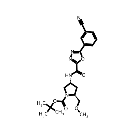 COC[C@@H]1C[C@@H](NC(=O)c2nnc(-c3cccc(C#N)c3)o2)CN1C(=O)OC(C)(C)C